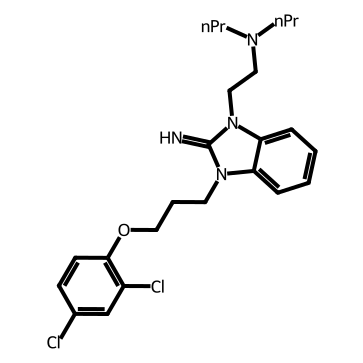 CCCN(CCC)CCn1c(=N)n(CCCOc2ccc(Cl)cc2Cl)c2ccccc21